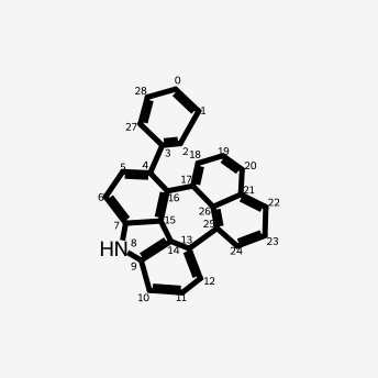 c1ccc(-c2ccc3[nH]c4cccc5c4c3c2-c2cccc3cccc-5c23)cc1